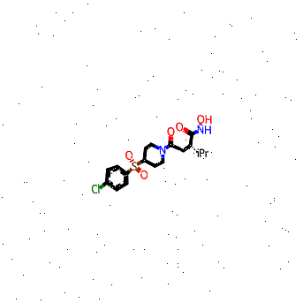 CC(C)[C@H](CC(=O)N1CCC(S(=O)(=O)c2ccc(Cl)cc2)CC1)C(=O)NO